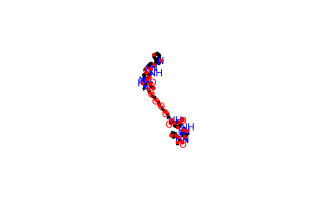 C=CC(=O)Nc1cc(Nc2nccc(-c3cn(C)c4ccccc34)n2)c(OC)cc1N(C)CCN(C)CCOCCOCCOCCOCCNC(=O)c1ccc(Nc2ncc3c(n2)N(C2CCCC2)[C@H](CC)C(=O)N3C)c(OC)c1